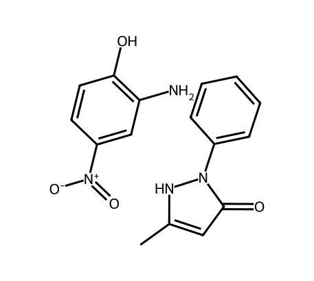 Cc1cc(=O)n(-c2ccccc2)[nH]1.Nc1cc([N+](=O)[O-])ccc1O